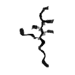 C=CCOC[C@@H](OCC=C)[C@@H](O)[C@H](O)[C@H](O)CO